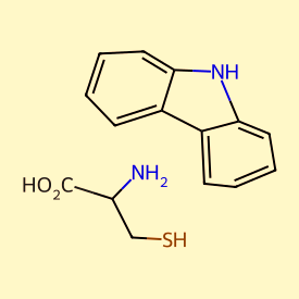 NC(CS)C(=O)O.c1ccc2c(c1)[nH]c1ccccc12